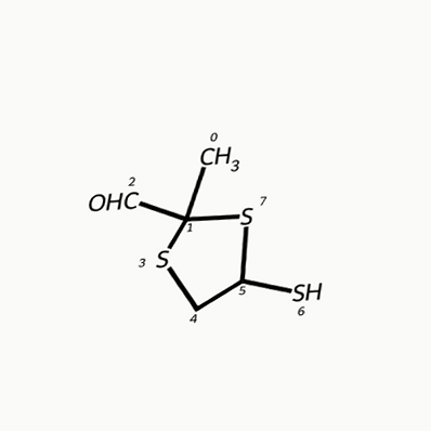 CC1(C=O)SCC(S)S1